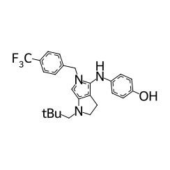 CC(C)(C)CN1CCc2c1cn(Cc1ccc(C(F)(F)F)cc1)c2Nc1ccc(O)cc1